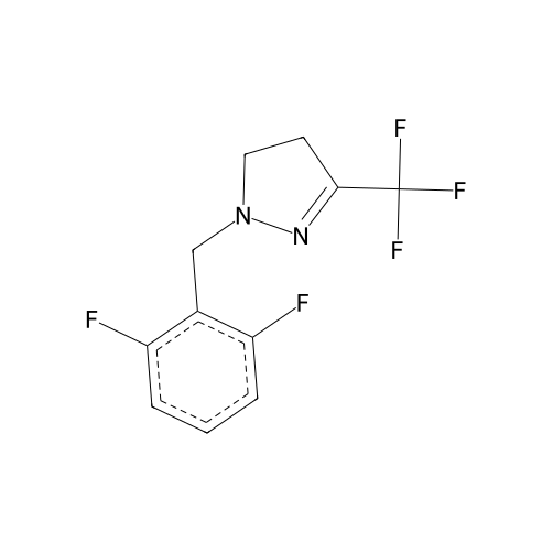 Fc1cccc(F)c1CN1CCC(C(F)(F)F)=N1